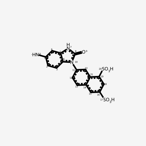 [NH]c1ccc2c(c1)[nH]c(=O)n2-c1ccc2cc(S(=O)(=O)O)cc(S(=O)(=O)O)c2c1